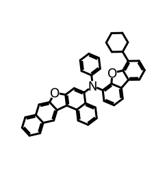 c1ccc(N(c2cc3oc4cc5ccccc5cc4c3c3ccccc23)c2cccc3c2oc2c(C4CCCCC4)cccc23)cc1